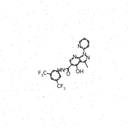 Cc1nn(-c2ccccn2)c2ncc(C(=O)Nc3cc(C(F)(F)F)cc(C(F)(F)F)c3)c(O)c12